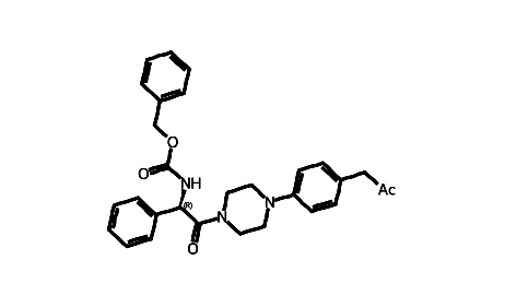 CC(=O)Cc1ccc(N2CCN(C(=O)[C@H](NC(=O)OCc3ccccc3)c3ccccc3)CC2)cc1